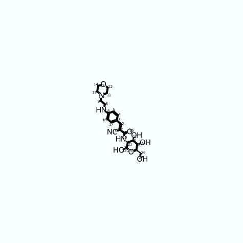 N#C/C(=C\c1ccc(NCCN2CCOCC2)cc1)C(=O)N[C@H]1C(O)O[C@H](CO)[C@@H](O)[C@@H]1O